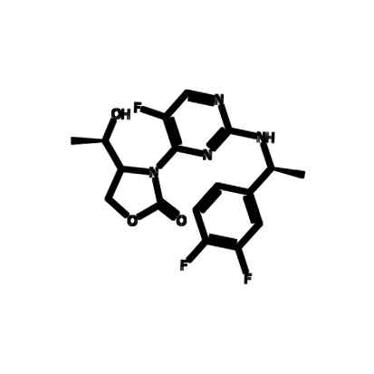 C[C@H](Nc1ncc(F)c(N2C(=O)OCC2[C@@H](C)O)n1)c1ccc(F)c(F)c1